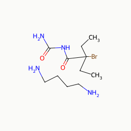 CCC(Br)(CC)C(=O)NC(N)=O.NCCCCN